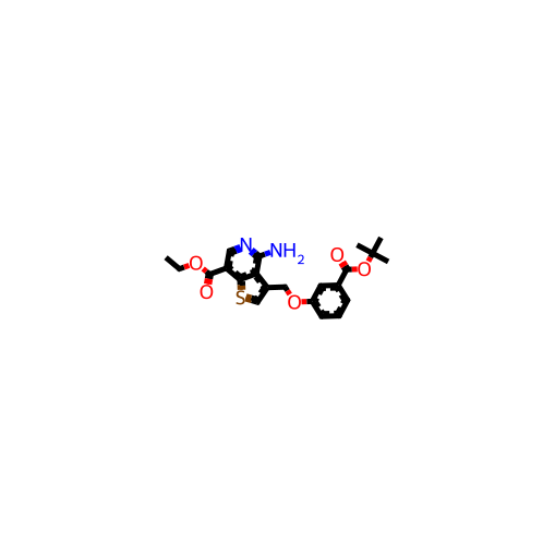 CCOC(=O)c1cnc(N)c2c(COc3cccc(C(=O)OC(C)(C)C)c3)csc12